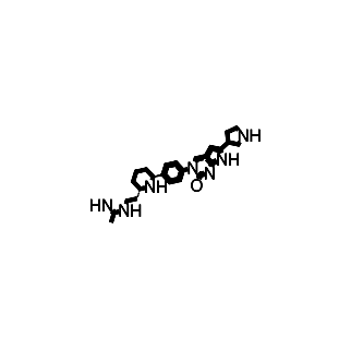 CC(=N)NCC[C@@H]1CCC[C@@H](c2ccc(-n3cc4cc(C5CCNC5)[nH]c4nc3=O)cc2)N1